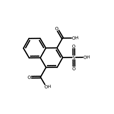 O=C(O)c1cc(S(=O)(=O)O)c(C(=O)O)c2ccccc12